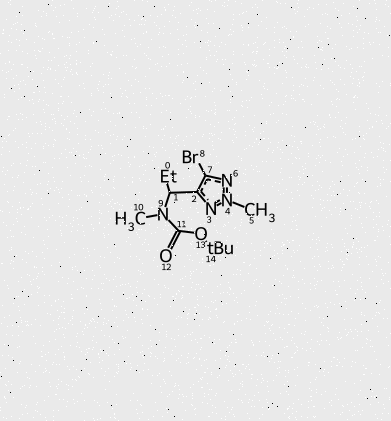 CCC(c1nn(C)nc1Br)N(C)C(=O)OC(C)(C)C